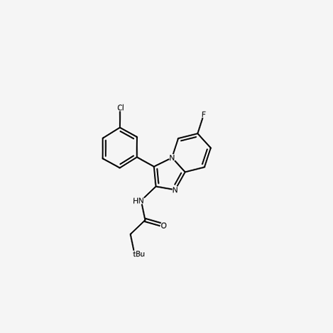 CC(C)(C)CC(=O)Nc1nc2ccc(F)cn2c1-c1cccc(Cl)c1